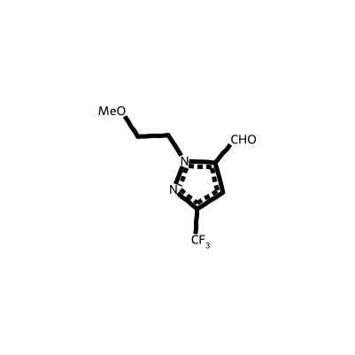 COCCn1nc(C(F)(F)F)cc1C=O